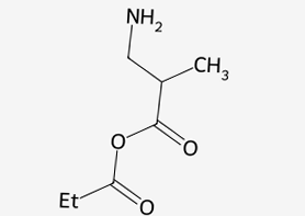 CCC(=O)OC(=O)C(C)CN